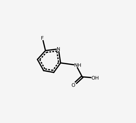 O=C(O)Nc1cccc(F)n1